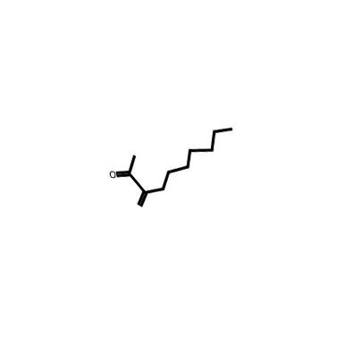 C=C(CCCCCCC)C(C)=O